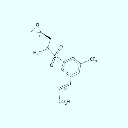 CN(C[C@H]1CO1)S(=O)(=O)c1cc(/C=C/C(=O)O)cc(C(F)(F)F)c1